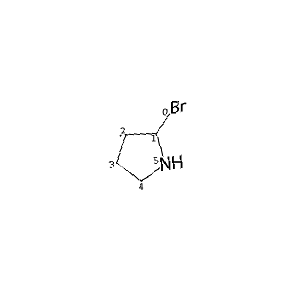 BrC1[CH]CCN1